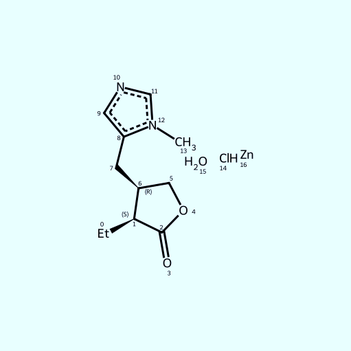 CC[C@@H]1C(=O)OC[C@@H]1Cc1cncn1C.Cl.O.[Zn]